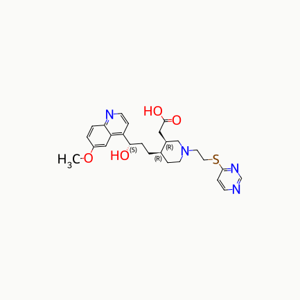 COc1ccc2nccc([C@@H](O)CC[C@@H]3CCN(CCSc4ccncn4)C[C@@H]3CC(=O)O)c2c1